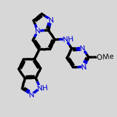 COc1nccc(Nc2cc(-c3ccc4cn[nH]c4c3)cn3ccnc23)n1